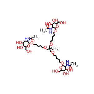 CC(=O)NC1CC(O)[C@@H](O)C(CO)O[C@H]1OCCCCCOCC(C)(COCCCCCO[C@@H]1OC(CO)[C@H](O)C(O)C1NC(C)=O)COCCCCCO[C@@H]1OC(CO)[C@H](O)C(O)C1NC(C)=O